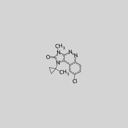 Cn1c(=O)n(C2(C)CC2)c2c3cc(Cl)ccc3nnc21